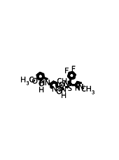 COc1cccc(CNc2cnc(S(=O)(=O)Nc3nc(-c4ccc(F)c(F)c4)c(-c4ccn(C)n4)s3)c(C)c2)c1O